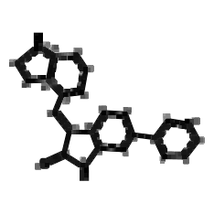 O=C1Nc2cc(-c3cccnc3)ccc2/C1=C\c1cccc2[nH]ccc12